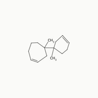 CC1(C2(C)CC=CCCC2)CC=CCC1